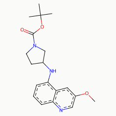 COc1cnc2cccc(NC3CCN(C(=O)OC(C)(C)C)C3)c2c1